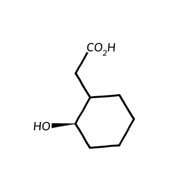 O=C(O)CC1CCCC[C@H]1O